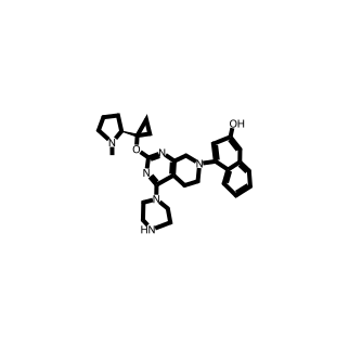 CN1CCC[C@H]1C1(Oc2nc3c(c(N4CCNCC4)n2)CCN(c2cc(O)cc4ccccc24)C3)CC1